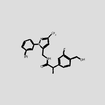 CC(C)c1cccc(-n2nc(C(F)(F)F)cc2CNC(=O)C(C)c2ccc(CO)c(F)c2)c1